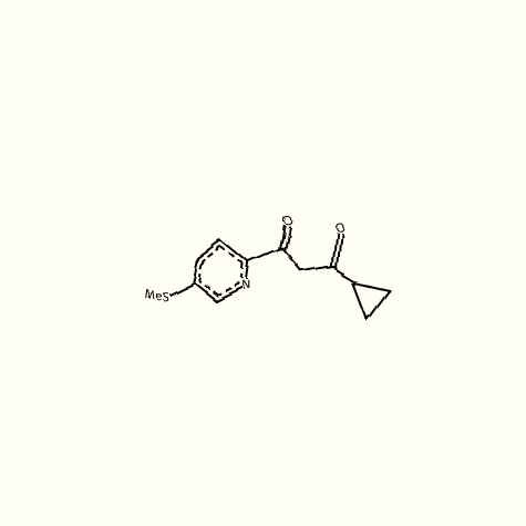 CSc1ccc(C(=O)CC(=O)C2CC2)nc1